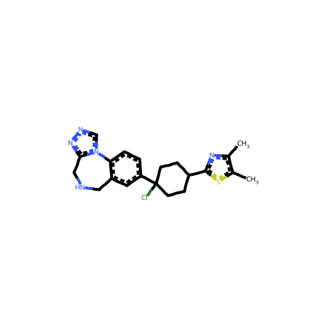 Cc1nc(C2CCC(Cl)(c3ccc4c(c3)CNCc3nncn3-4)CC2)sc1C